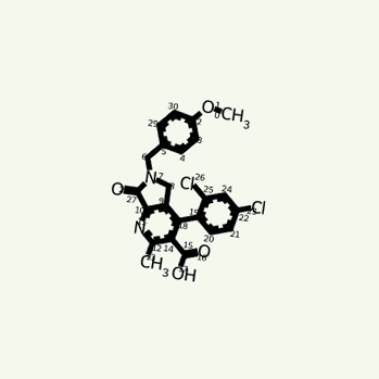 COc1ccc(CN2Cc3c(nc(C)c(C(=O)O)c3-c3ccc(Cl)cc3Cl)C2=O)cc1